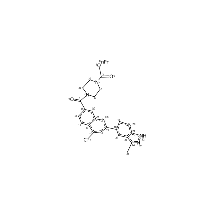 CCCOC(=O)N1CCN(C(=O)c2ccc3c(Cl)cc(-c4cnc5[nH]nc(C)c5c4)nc3c2)CC1